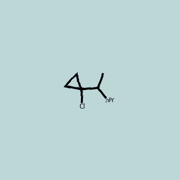 CCCC(C)C1(Cl)[CH]C1